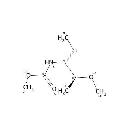 CC[C@@H](NC(=O)OC)[C@H](C)OC